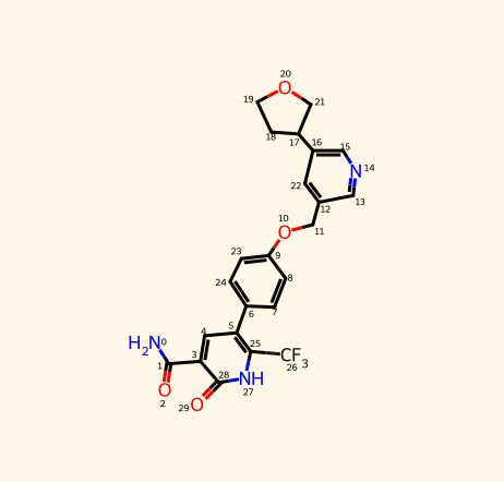 NC(=O)c1cc(-c2ccc(OCc3cncc(C4CCOC4)c3)cc2)c(C(F)(F)F)[nH]c1=O